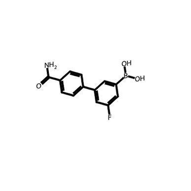 NC(=O)c1ccc(-c2cc(F)cc(B(O)O)c2)cc1